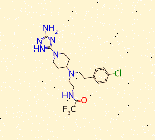 Nc1n[nH]c(N2CCC(N(CCNC(=O)C(F)(F)F)CCc3ccc(Cl)cc3)CC2)n1